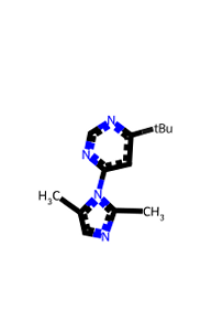 Cc1cnc(C)n1-c1cc(C(C)(C)C)ncn1